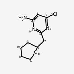 Nc1cc(Cl)nc(CC2CCCCC2)n1